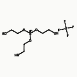 F[B-](F)(F)F.OCCO[NH+](OCCO)OCCO